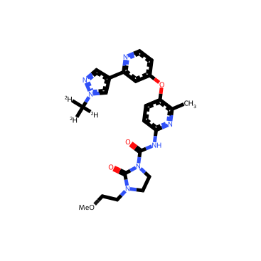 [2H]C([2H])([2H])n1cc(-c2cc(Oc3ccc(NC(=O)N4CCN(CCOC)C4=O)nc3C)ccn2)cn1